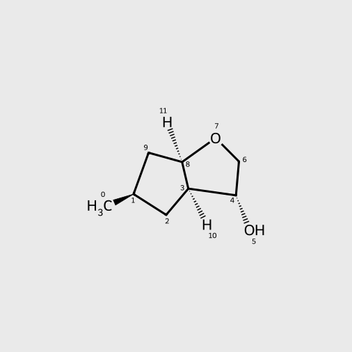 C[C@@H]1C[C@@H]2[C@@H](O)CO[C@@H]2C1